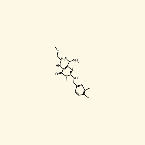 COCCNc1c(C(N)P)nc(NCc2ccc(C)c(C)c2)[nH]c1=O